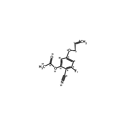 C=CCOc1cc(F)c(C#N)c(OC(C)=O)c1